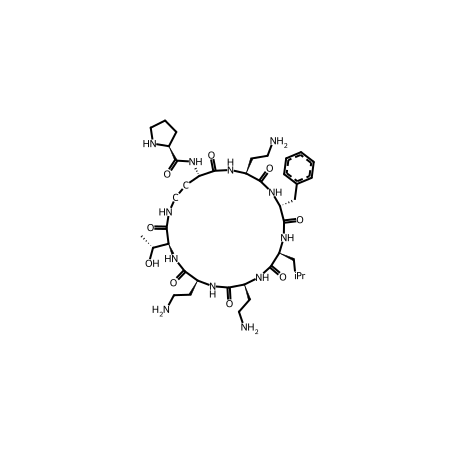 CC(C)C[C@@H]1NC(=O)[C@@H](Cc2ccccc2)NC(=O)[C@H](CCN)NC(=O)[C@@H](NC(=O)[C@@H]2CCCN2)CCNC(=O)[C@H]([C@@H](C)O)NC(=O)[C@H](CCN)NC(=O)[C@H](CCN)NC1=O